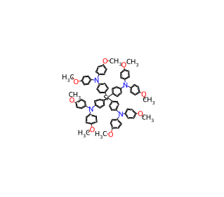 COc1ccc(N(c2ccc(OC)cc2)c2ccc([Si](c3ccc(N(c4ccc(OC)cc4)c4ccc(OC)cc4)cc3)(c3ccc(N(c4ccc(OC)cc4)c4ccc(OC)cc4)cc3)c3ccc(N(c4ccc(OC)cc4)c4ccc(OC)cc4)cc3)cc2)cc1